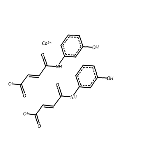 O=C([O-])C=CC(=O)Nc1cccc(O)c1.O=C([O-])C=CC(=O)Nc1cccc(O)c1.[Co+2]